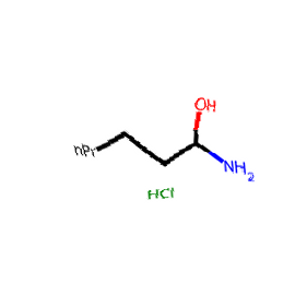 CCCCCC(N)O.Cl